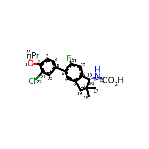 CCCOc1ccc(-c2cc3c(cc2F)[C@H](NC(=O)O)C(C)(C)C3)cc1Cl